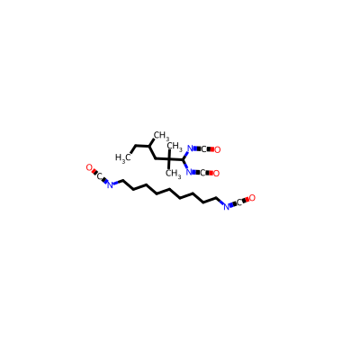 CCC(C)CC(C)(C)C(N=C=O)N=C=O.O=C=NCCCCCCCCCN=C=O